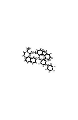 N=C1C=Cc2ccc3ccc(N(c4ccc(-c5ccccc5)cc4)c4cccc5oc6ccccc6c45)cc3c2C1=N